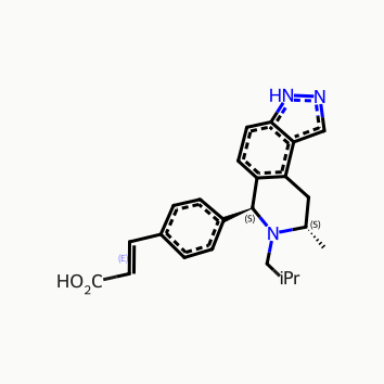 CC(C)CN1[C@@H](c2ccc(/C=C/C(=O)O)cc2)c2ccc3[nH]ncc3c2C[C@@H]1C